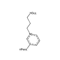 CCCCCCCCCCC[n+]1cccc(CCCCC)c1